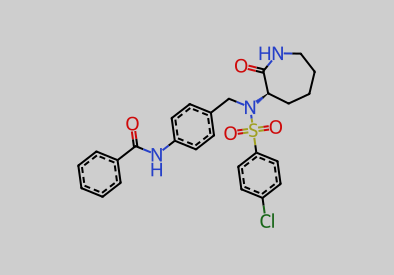 O=C(Nc1ccc(CN([C@@H]2CCCCNC2=O)S(=O)(=O)c2ccc(Cl)cc2)cc1)c1ccccc1